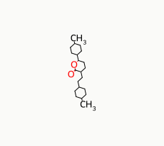 CC1CCC(CCC2CCC(C3CCC(C)CC3)OC2=O)CC1